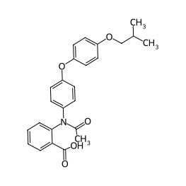 CC(=O)N(c1ccc(Oc2ccc(OCC(C)C)cc2)cc1)c1ccccc1C(=O)O